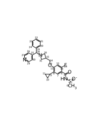 C[S+]([O-])NC(=O)c1cc(C2CC2)c(OCC2CN([C@H](c3ccccc3)c3ccncc3)C2)cc1F